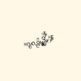 O=C(O)c1cccc(-c2cccc(NN=C3C(=O)N(c4cccc(C(F)(F)F)c4)c4cc(C(F)(F)F)ccc43)c2O)c1